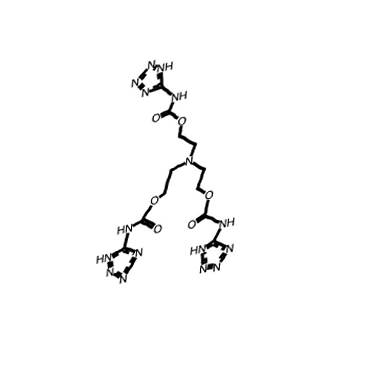 O=C(Nc1nnn[nH]1)OCCN(CCOC(=O)Nc1nnn[nH]1)CCOC(=O)Nc1nnn[nH]1